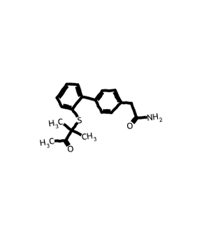 CC(=O)C(C)(C)Sc1ccccc1-c1ccc(CC(N)=O)cc1